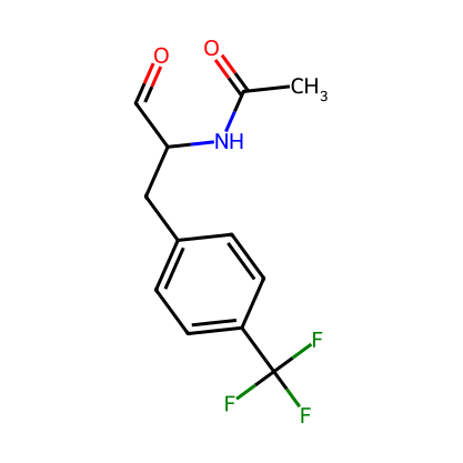 CC(=O)NC(C=O)Cc1ccc(C(F)(F)F)cc1